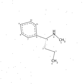 CCC[C@@H](NC)c1ccccc1